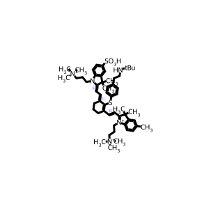 Cc1ccc2c(c1)C(C)(C)C(/C=C/C1=C(Sc3ccc(CCNC(C)(C)C)cc3)C(=C/C=C3/N(CCC[N+](C)(C)C)c4ccc(S(=O)(=O)O)cc4C3(C)C)/CCC1)=[N+]2CCC[N+](C)(C)C